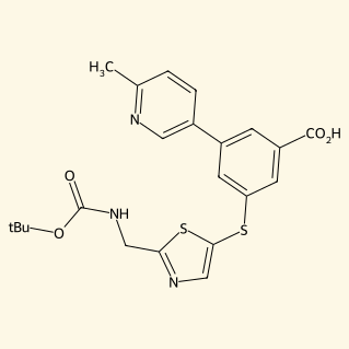 Cc1ccc(-c2cc(Sc3cnc(CNC(=O)OC(C)(C)C)s3)cc(C(=O)O)c2)cn1